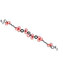 C=CC(=O)OCCCCCCOC(=O)Oc1ccc(C(=O)O[C@H]2COC3C2CC[C@H]3OC(=O)c2ccc(OC(=O)OCCCCCCOC(=O)C=C)cc2)cc1